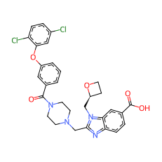 O=C(O)c1ccc2nc(CN3CCN(C(=O)c4cccc(Oc5cc(Cl)ccc5Cl)c4)CC3)n(C[C@@H]3CCO3)c2c1